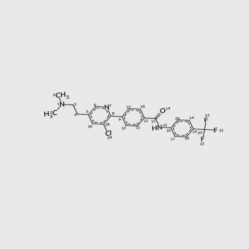 CN(C)CCc1cnc(-c2ccc(C(=O)Nc3ccc(C(F)(F)F)cc3)cc2)c(Cl)c1